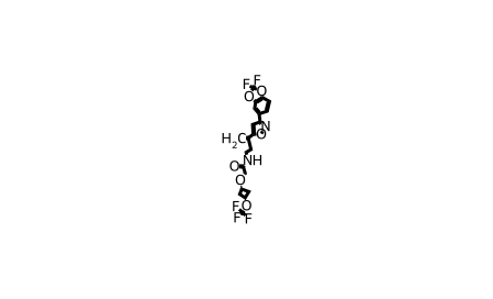 C=C(CCNC(=O)CO[C@H]1C[C@@H](OC(F)(F)F)C1)c1cc(-c2ccc3c(c2)OC(F)(F)O3)no1